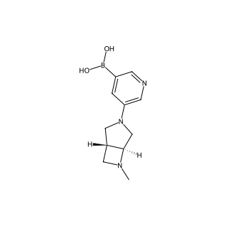 CN1C[C@@H]2CN(c3cncc(B(O)O)c3)C[C@H]21